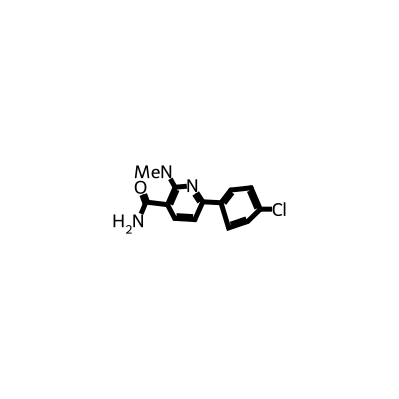 CNc1nc(-c2ccc(Cl)cc2)ccc1C(N)=O